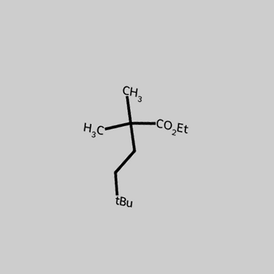 CCOC(=O)C(C)(C)CCC(C)(C)C